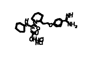 Cl.Cl.N=C(N)c1ccc(OCCC2CCCCN2C(=O)[C@H](CC(=O)O)NC2CCCCC2)cc1